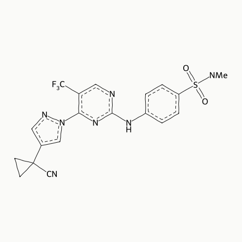 CNS(=O)(=O)c1ccc(Nc2ncc(C(F)(F)F)c(-n3cc(C4(C#N)CC4)cn3)n2)cc1